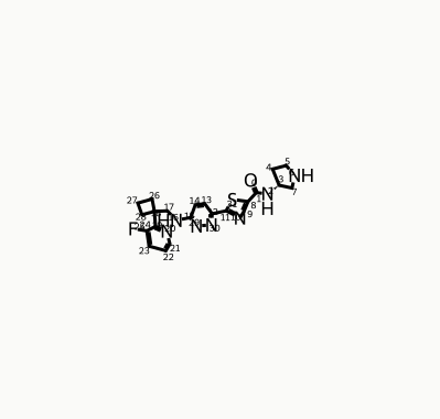 O=C(N[C@@H]1CCNC1)c1cnc(-c2ccc(NCC3(c4ncccc4F)CCC3)nn2)s1